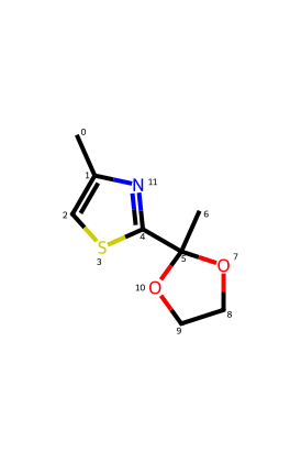 Cc1csc(C2(C)OCCO2)n1